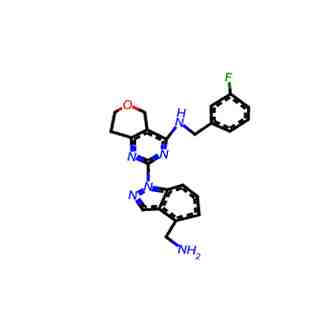 NCc1cccc2c1cnn2-c1nc2c(c(NCc3cccc(F)c3)n1)COCC2